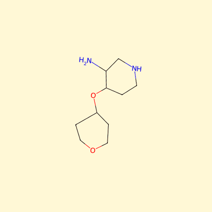 NC1CNCCC1OC1CCOCC1